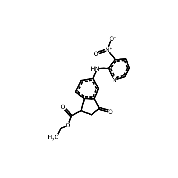 CCOC(=O)C1CC(=O)c2cc(Nc3ncccc3[N+](=O)[O-])ccc21